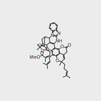 COC(=O)/C(C)=C\CC12OC(C)(C)C3CC(C1=O)C1C4=C(Nc5nc6ccccc6n51)c1c(c(CC=C(C)C)c5c6c1OC(=O)CC6=CC(C)(CCC=C(C)C)O5)OC432